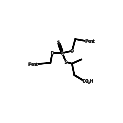 CCCC(C)COP(=S)(OCC(C)CCC)SC(C)CC(=O)O